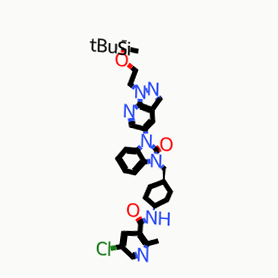 Cc1ncc(Cl)cc1C(=O)N[C@H]1CC[C@H](Cn2c(=O)n(-c3cnc4c(cnn4CCO[Si](C)(C)C(C)(C)C)c3)c3ccccc32)CC1